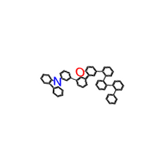 c1ccc(-c2ccccc2-c2ccccc2-c2ccccc2-c2ccc3oc4c(-c5cccc(-n6c7ccccc7c7ccccc76)c5)cccc4c3c2)cc1